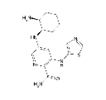 NC(=O)c1ncc(N[C@@H]2CCCC[C@@H]2N)cc1Nc1cncs1